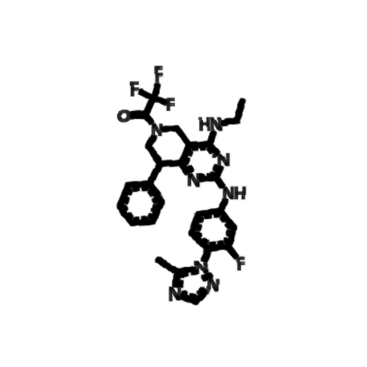 CCNc1nc(Nc2ccc(-n3ncnc3C)c(F)c2)nc2c1CN(C(=O)C(F)(F)F)CC2c1ccccc1